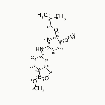 COB1OCc2cc(Nc3ccc(C#N)c(OCC(C)C)n3)ccc21